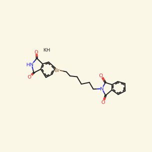 O=C1NC(=O)c2ccccc21.O=C1c2ccccc2C(=O)N1CCCCCCBr.[KH]